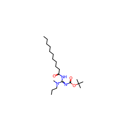 CCCCCCCCCCC(=O)N/C(=N\C(=O)OC(C)(C)C)N(C)CCC